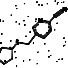 N#Cc1ccc(CSC2CCCC2)cn1